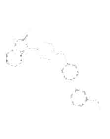 CNc1cc[c]c(-c2ccc(CN3CCC(n4c(=O)[nH]c5ccccc54)CC3)cc2)c1